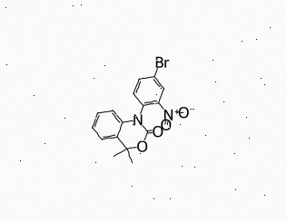 CC1(C)OC(=O)N(c2ccc(Br)cc2[N+](=O)[O-])c2ccccc21